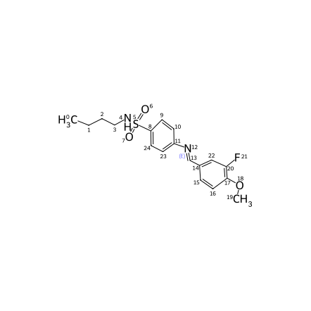 CCCCNS(=O)(=O)c1ccc(/N=C/c2ccc(OC)c(F)c2)cc1